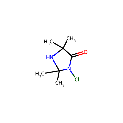 CC1(C)NC(C)(C)N(Cl)C1=O